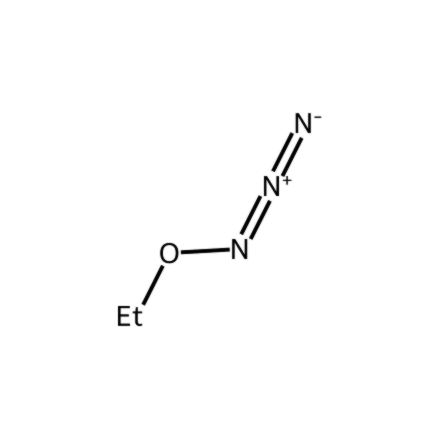 [CH2]CON=[N+]=[N-]